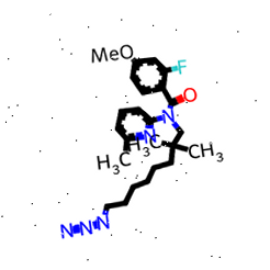 COc1ccc(C(=O)N(CC(C)(C)CCCCCCN=[N+]=[N-])c2cccc(C)n2)c(F)c1